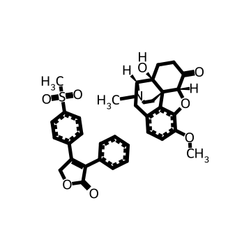 COc1ccc2c3c1O[C@H]1C(=O)CC[C@@]4(O)[C@@H](C2)N(C)CC[C@]314.CS(=O)(=O)c1ccc(C2=C(c3ccccc3)C(=O)OC2)cc1